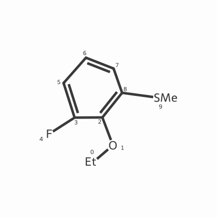 CCOc1c(F)cccc1SC